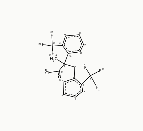 CC(Cc1ccccc1C(F)(F)F)(C(=O)Cl)c1ccccc1C(F)(F)F